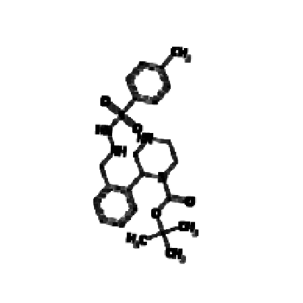 Cc1ccc(S(=O)(=O)NNCc2ccccc2C2CNCCN2C(=O)OC(C)(C)C)cc1